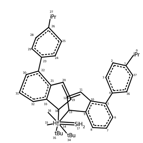 CC(C)c1ccc(-c2cccc3c2C=C[CH]3[Hf]([CH3])([CH3])(=[SiH2])([CH]2C=Cc3c(-c4ccc(C(C)C)cc4)cccc32)([C](C)(C)C)[C](C)(C)C)cc1